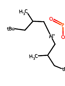 CC([CH2][Al+][CH2]C(C)CC(C)(C)C)CC(C)(C)C.O=P[O-]